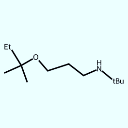 CCC(C)(C)OCCCNC(C)(C)C